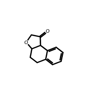 O=C1COC2CCc3ccccc3C12